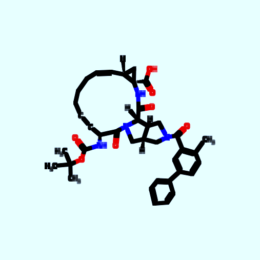 Cc1ccc(-c2ccccc2)cc1C(=O)N1C[C@H]2CN3C(=O)[C@H](NC(=O)OC(C)(C)C)CCCCC/C=C\[C@H]4C[C@@]4(C(=O)O)NC(=O)[C@@H]3[C@H]2C1